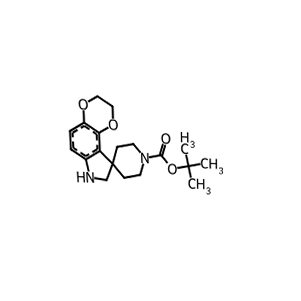 CC(C)(C)OC(=O)N1CCC2(CC1)CNc1ccc3c(c12)OCCO3